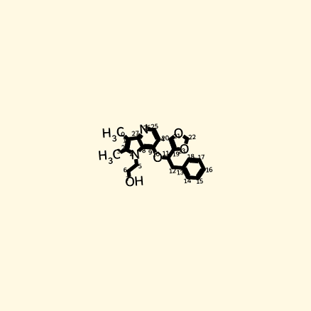 Cc1c(C)n(CCO)c2c(OC(Cc3ccccc3)C3=COCO3)ccnc12